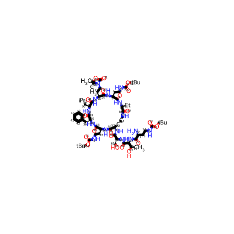 CC[C@@H]1NC(=O)[C@H](CCNC(=O)OC(C)(C)C)NC(=O)[C@H](CCN2C(=O)OC2(C)C)NC(=O)[C@H](CC(C)C)NC(=O)[C@@H](Cc2ccccc2)NC(=O)[C@H](CCNC(=O)OC(C)(C)C)NC(=O)[C@@H](NC(=O)[C@@H](CO)NC(=O)[C@@H](NC(=O)[C@@H](N)CCNC(=O)OC(C)(C)C)[C@@H](C)O)CCNC1=O